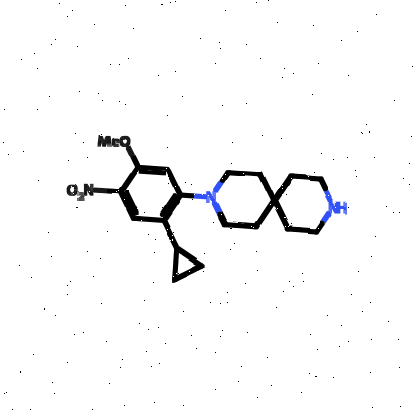 COc1cc(N2CCC3(CCNCC3)CC2)c(C2CC2)cc1[N+](=O)[O-]